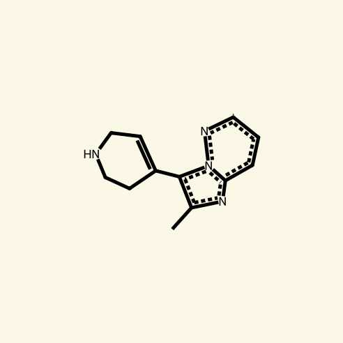 Cc1nc2cc[c]nn2c1C1=CCNCC1